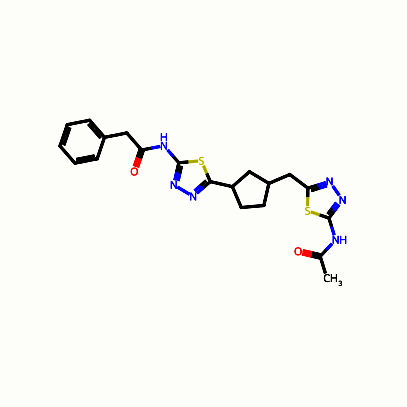 CC(=O)Nc1nnc(CC2CCC(c3nnc(NC(=O)Cc4ccccc4)s3)C2)s1